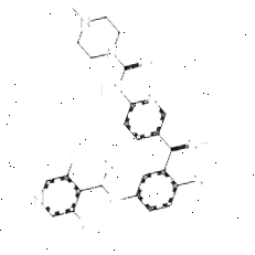 CN1CCN(C(=O)Nc2ccc(C(=N)c3cc(O[C@H](N)c4c(Cl)cncc4Cl)ccc3N)cn2)CC1